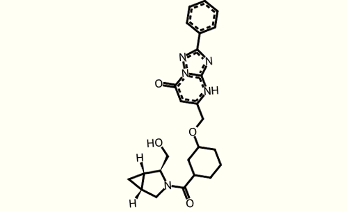 O=C(C1CCCC(OCc2cc(=O)n3nc(-c4ccccc4)nc3[nH]2)C1)N1C[C@@H]2C[C@@H]2[C@H]1CO